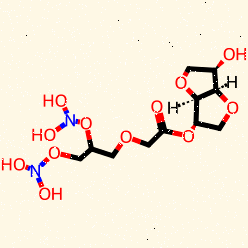 O=C(COCC(CON(O)O)ON(O)O)O[C@@H]1CO[C@H]2[C@@H]1OC[C@H]2O